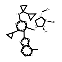 Cc1nccc2sc(-c3c(N[C@@H]4C[C@H](CO)[C@@H](O)[C@H]4O)nc(NC4(C5CC5)CC4)nc3C3CC3)nc12